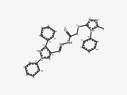 Cc1nnc(SCC(=O)N/N=C/c2cn(-c3ccccc3)nc2-c2ccccc2)n1-c1ccccc1